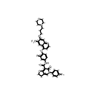 O=C(Nc1ccc(Oc2ccnc3cc(OCCCN4CCOCC4)c(C(F)(F)F)cc23)c(F)c1)c1c2c(cn(-c3ccc(F)cc3)c1=O)CCO2